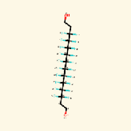 OCCC(F)(F)C(F)(F)C(F)(F)C(F)(F)C(F)(F)C(F)(F)C(F)(F)C(F)(F)C(F)(F)C(F)(F)CCO